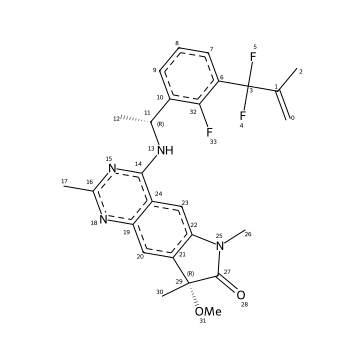 C=C(C)C(F)(F)c1cccc([C@@H](C)Nc2nc(C)nc3cc4c(cc23)N(C)C(=O)[C@]4(C)OC)c1F